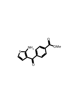 COC(=O)c1ccc(C(=O)c2ccsc2N)cc1